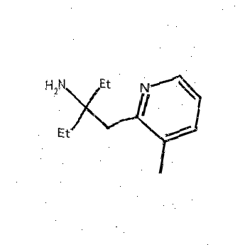 CCC(N)(CC)Cc1ncccc1C